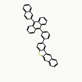 c1cc(-c2ccc3sc4cc5ccccc5cc4c3c2)cc(-c2c3ccccc3c(-c3ccc4ccccc4c3)c3ccccc23)c1